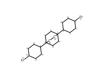 CCC1CCC(C23CCC(C4CCC(CC)CC4)(CC2)CC3)CC1